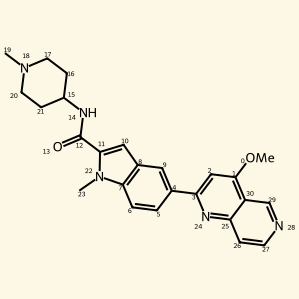 COc1cc(-c2ccc3c(c2)cc(C(=O)NC2CCN(C)CC2)n3C)nc2ccncc12